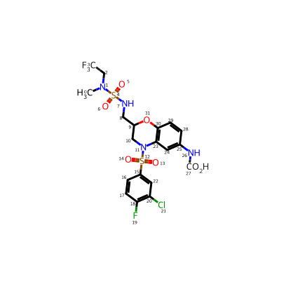 CN(CC(F)(F)F)S(=O)(=O)NCC1CN(S(=O)(=O)c2ccc(F)c(Cl)c2)c2cc(NC(=O)O)ccc2O1